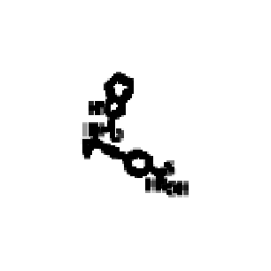 O=C(NC1(C#Cc2ccc(C(=S)NO)cc2)CC1)c1cc2ccccc2[nH]1